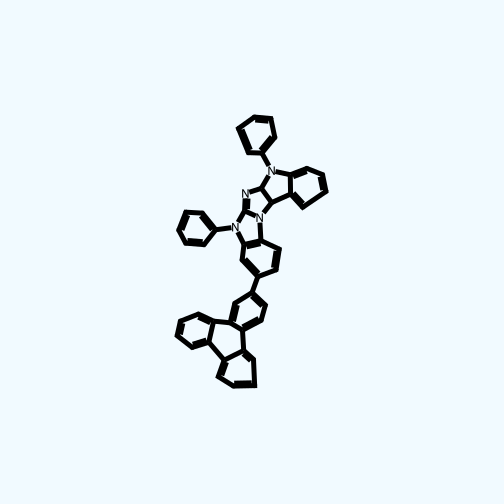 c1ccc(N2C3=NC4C(c5ccccc5N4c4ccccc4)N3c3ccc(-c4ccc5c6ccccc6c6ccccc6c5c4)cc32)cc1